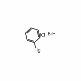 Br.Cl.[Hg][c]1ccccc1